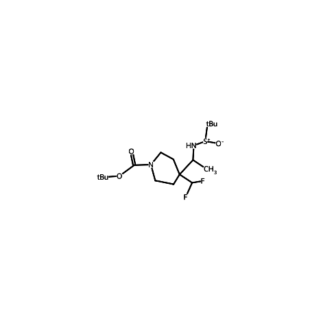 CC(N[S+]([O-])C(C)(C)C)C1(C(F)F)CCN(C(=O)OC(C)(C)C)CC1